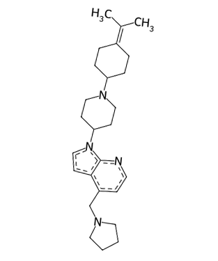 CC(C)=C1CCC(N2CCC(n3ccc4c(CN5CCCC5)ccnc43)CC2)CC1